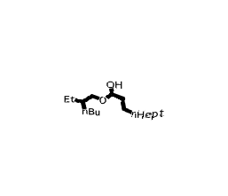 CCCCCCCCCC(O)OCC(CC)CCCC